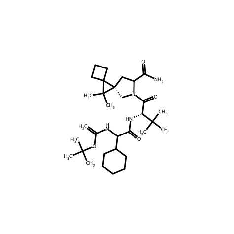 C=C(NC(C(=O)N[C@H](C(=O)N1C[C@]2(CC1C(N)=O)C(C)(C)C21CCC1)C(C)(C)C)C1CCCCC1)OC(C)(C)C